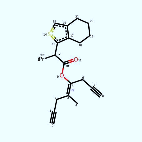 C#CC/C(C)=C(/CC#C)OC(=O)C(c1scc2c1CCCC2)C(C)C